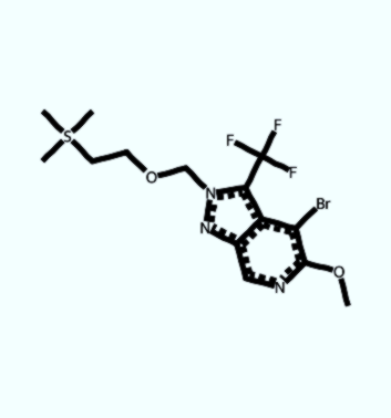 COc1ncc2nn(COCCS(C)(C)C)c(C(F)(F)F)c2c1Br